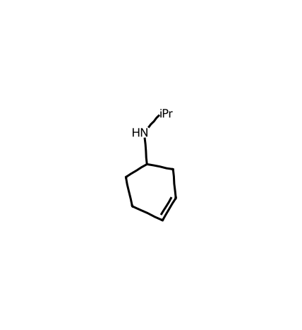 CC(C)NC1CC=CCC1